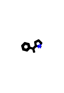 CC(c1ccccc1)C1CCC[N]1